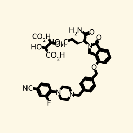 N#Cc1ccc(N2CCN(Cc3ccc(COc4cccc5c4CN([C@@H](CCC(=O)O)C(N)=O)C5=O)cc3)CC2)c(F)c1.O=C(O)C(O)C(O)C(=O)O